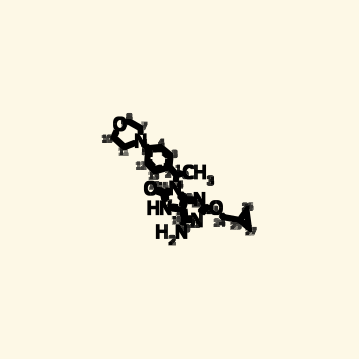 CC(c1ccc(N2CCOCC2)cc1)n1c(=O)[nH]c2c(N)nc(OCC3CC3)nc21